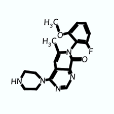 COc1cccc(F)c1-n1c(C)cc2c(N3CCNCC3)ncnc2c1=O